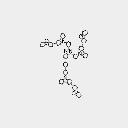 c1cc(-c2nc(-c3cccc(-n4c5ccccc5c5cc(-c6ccc7c(c6)oc6ccccc67)ccc54)c3)c3cc(-c4ccc(-c5ccc(-n6c7ccccc7c7cc(-c8ccc9c(c8)oc8ccccc89)ccc76)cc5)cc4)ccc3n2)cc(-n2c3ccccc3c3cc(-c4ccc5c(c4)oc4ccccc45)ccc32)c1